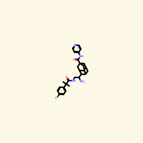 CC(C)(C(=O)NCC(N)C1C2CC3CC1CC(C(=O)Nc1ccncc1)(C3)C2)c1ccc(Cl)cc1